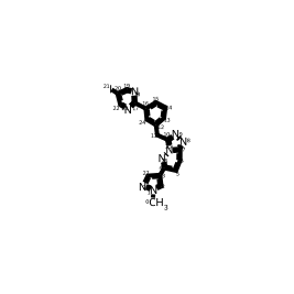 Cn1cc(-c2ccc3nnc(Cc4cccc(-c5ncc(I)cn5)c4)n3n2)cn1